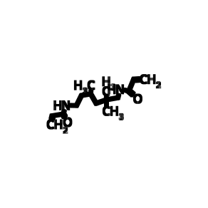 C=CC(=O)NCCC(C)CC(C)(C)CNC(=O)C=C